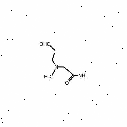 CN(CCC=O)CC(N)=O